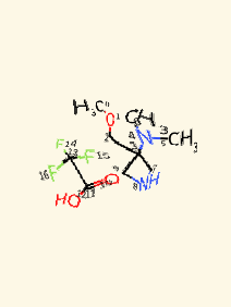 COCC1(N(C)C)CNC1.O=C(O)C(F)(F)F